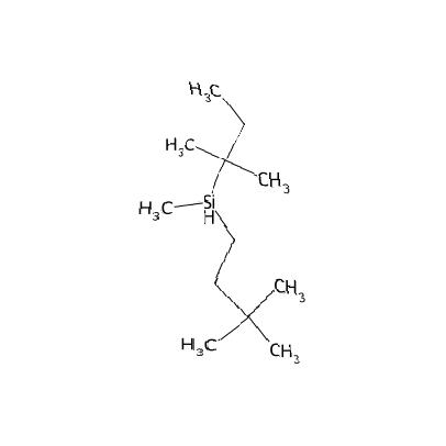 CCC(C)(C)[SiH](C)CCC(C)(C)C